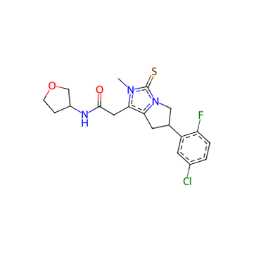 Cn1c(CC(=O)NC2CCOC2)c2n(c1=S)CC(c1cc(Cl)ccc1F)C2